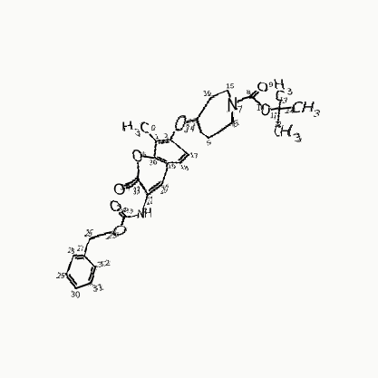 Cc1c(OC2CCN(C(=O)OC(C)(C)C)CC2)ccc2cc(NC(=O)OCc3ccccc3)c(=O)oc12